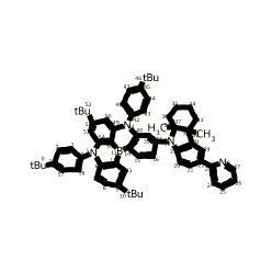 CC(C)(C)c1ccc(N2c3ccc(C(C)(C)C)cc3B3c4ccc(N5c6ccc(-c7ccccn7)cc6C6(C)CCCCC56C)cc4N(c4ccc(C(C)(C)C)cc4)c4cc(C(C)(C)C)cc2c43)cc1